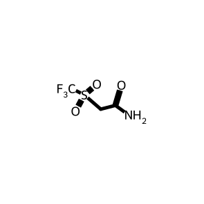 NC(=O)CS(=O)(=O)C(F)(F)F